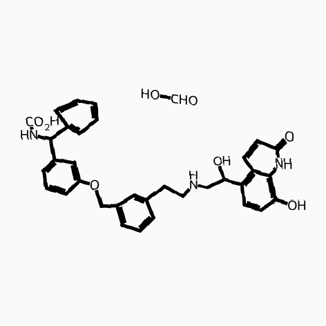 O=C(O)NC(c1ccccc1)c1cccc(OCc2cccc(CCNCC(O)c3ccc(O)c4[nH]c(=O)ccc34)c2)c1.O=CO